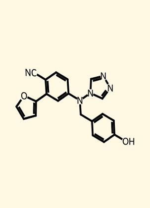 N#Cc1ccc(N(Cc2ccc(O)cc2)n2cnnc2)cc1-c1ccco1